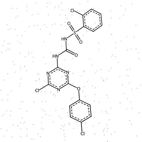 O=C(Nc1nc(Cl)nc(Oc2ccc(Cl)cc2)n1)NS(=O)(=O)c1ccccc1Cl